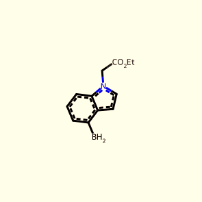 Bc1cccc2c1ccn2CC(=O)OCC